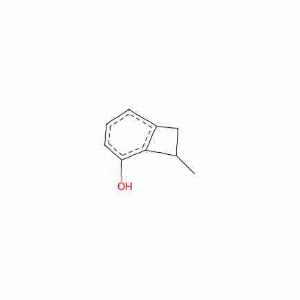 CC1Cc2cccc(O)c21